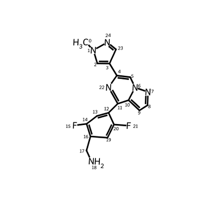 Cn1cc(-c2cn3nccc3c(-c3cc(F)c(CN)cc3F)n2)cn1